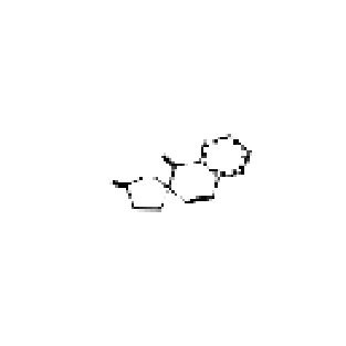 O=C1CC[C@@]2(C=Cc3ccccc3C2=O)O1